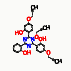 C#CCOc1ccc(C2=NC(c3ccccc3O)=NC(c3ccc(OCC#C)cc3O)N2OCC#C)c(O)c1